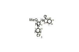 COc1nn(-c2cnc(C(F)(F)F)nc2)cc1CN1Cc2ccccc2C1=O